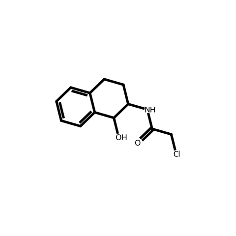 O=C(CCl)NC1CCc2ccccc2C1O